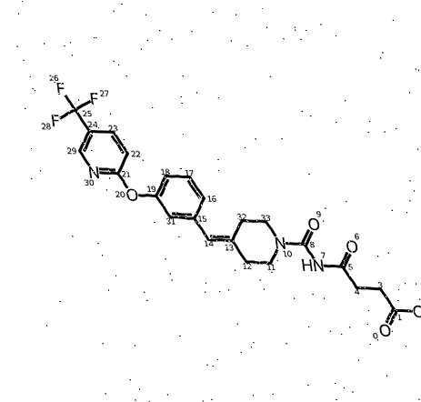 O=C(O)CCC(=O)NC(=O)N1CCC(=Cc2cccc(Oc3ccc(C(F)(F)F)cn3)c2)CC1